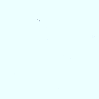 CCOc1ccc(/C(=C\C2(/C=C(\c3ccc(OCC)cc3)c3ccc(N4CCCC4)cc3)OC(=O)c3c(Cl)c(Cl)c(Cl)c(Cl)c32)c2ccc(N3CCCC3)cc2)cc1